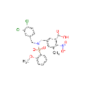 COc1ccccc1S(=O)(=O)N(Cc1ccc(Cl)c(Cl)c1)Cc1cc(C)c([N+](=O)[O-])c(C(=O)O)c1